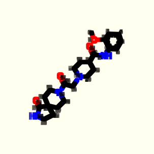 COc1ccccc1NC(=O)C1CCN(CC(=O)N2CCC3(CCNC3=O)CC2)CC1